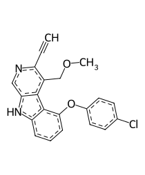 C#Cc1ncc2[nH]c3cccc(Oc4ccc(Cl)cc4)c3c2c1COC